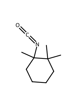 CC1(C)CCCCC1(C)N=C=O